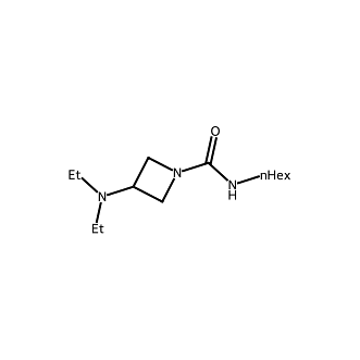 CCCCCCNC(=O)N1CC(N(CC)CC)C1